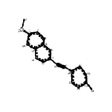 COc1ccc2cc(C#Cc3ccc(C)cc3)ccc2c1